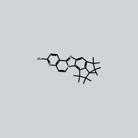 CC(C)(C)c1ccc2c(ccn3c2nc2cc4c5c(c23)C(C)(C)C(C)(C)C5(C)C(C)(C)C4(C)C)n1